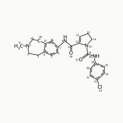 CN1CCc2ccc(NC(=O)C3=CCCN3C(=O)Nc3ccc(Cl)cc3)cc2CC1